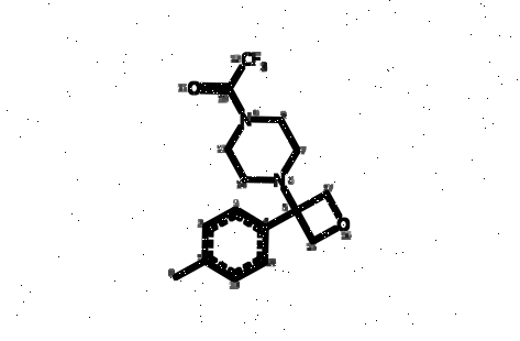 Cc1ccc(C2(N3CCN(C(=O)C(F)(F)F)CC3)COC2)cc1